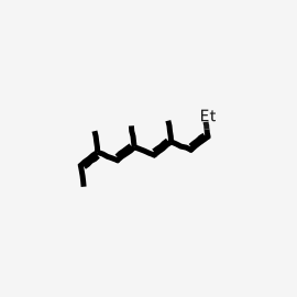 C\C=C(C)/C=C(C)/C=C(C)/C=C\CC